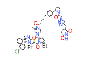 CC[C@@H]1C=C[C@@H](C(=O)N2CCN(C(=O)CCCCc3ccc(C4CCCN4C(=O)Cn4cc(CC5CCC(=O)NC5=O)nn4)cc3)[C@H](C)C2)N1C(=O)C1=C(C(C)C)N2C(=N[C@@](C)(c3ccccc3)[C@H]2c2ccc(Cl)cc2)S1